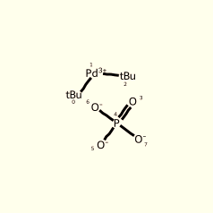 C[C](C)(C)[Pd+3][C](C)(C)C.O=P([O-])([O-])[O-]